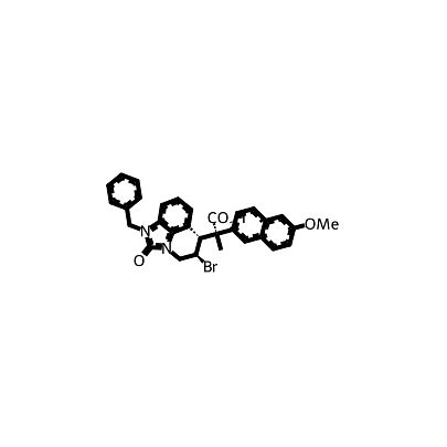 COc1ccc2cc([C@](C)(C(=O)O)[C@H]3c4cccc5c4n(c(=O)n5Cc4ccccc4)C[C@@H]3Br)ccc2c1